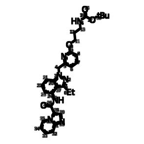 CCc1nn(Cc2cccc(OCCCNC(=O)OC(C)(C)C)n2)c2cccc(NC(=O)c3cnc4ccccn34)c12